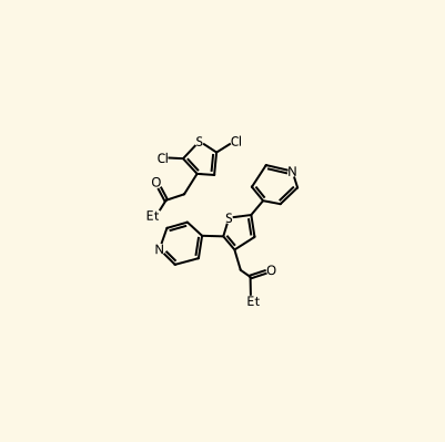 CCC(=O)Cc1cc(-c2ccncc2)sc1-c1ccncc1.CCC(=O)Cc1cc(Cl)sc1Cl